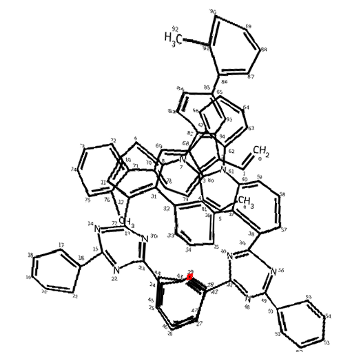 C=Cc1c(/C=C\C)n(-c2cccc(-c3nc(-c4ccccc4)nc(-c4ccccc4)n3)c2-c2cccc(-c3c(-c4nc(-c5ccccc5)nc(-c5ccccc5)n4)cccc3-n3c4ccccc4c4cc(-c5ccccc5C)ccc43)c2)c2ccc(-c3ccccc3C)cc12